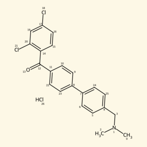 CN(C)Cc1ccc(-c2ccc(C(=O)c3ccc(Cl)cc3Cl)cc2)cc1.Cl